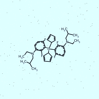 CCN(CC(C)C)c1ccc(F)[c]([Ti]([c]2c(F)ccc(N(CC)CC(C)C)c2F)([CH]2C=CC=C2)[CH]2C=CC=C2)c1F